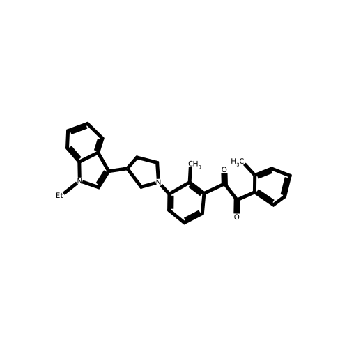 CCn1cc(C2CCN(c3cccc(C(=O)C(=O)c4ccccc4C)c3C)C2)c2ccccc21